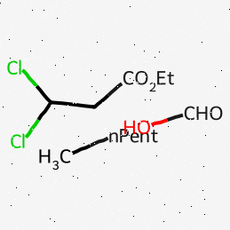 CCCCCC.CCOC(=O)CC(Cl)Cl.O=CO